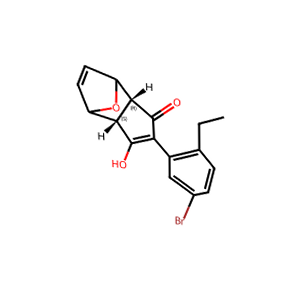 CCc1ccc(Br)cc1C1=C(O)[C@@H]2C3C=CC(O3)[C@@H]2C1=O